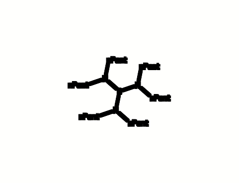 CCCCCN(CCCCC)B(N(CCCCC)CCCCC)N(CCCCC)CCCCC